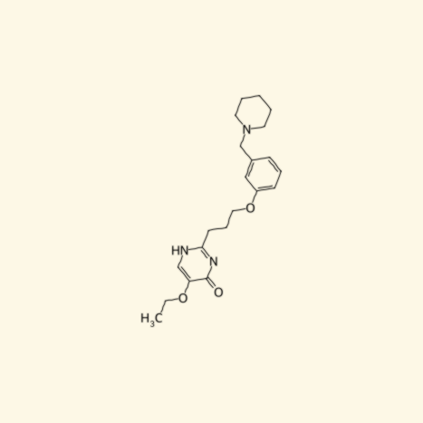 CCOc1c[nH]c(CCCOc2cccc(CN3CCCCC3)c2)nc1=O